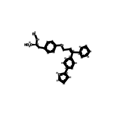 CCO[C@@H](Cc1ccc(OCC=C(c2ccccc2)c2ccc(-c3ccco3)cc2)cc1)C(=O)O